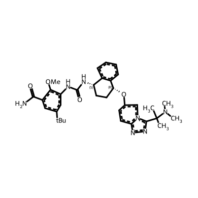 COc1c(NC(=O)N[C@H]2CC[C@@H](Oc3ccc4nnc(C(C)(C)N(C)C)n4c3)c3ccccc32)cc(C(C)(C)C)cc1C(N)=O